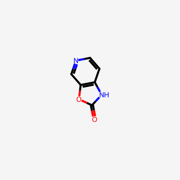 O=c1[nH]c2ccncc2o1